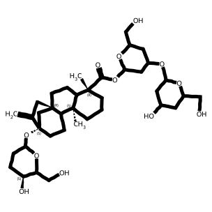 C=C1C[C@@]23CCC4[C@@](C)(CCC[C@@]4(C)C(=O)OC4CC(OC5CC(O)CC(CO)O5)CC(CO)O4)C2CC[C@]1(OC1CC[C@H](O)C(CO)O1)C3